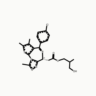 Cc1sc2c(c1C)C(c1ccc(Cl)cc1)=N[C@H](CC(=O)OCC(C)CO)c1nnc(C)n1-2